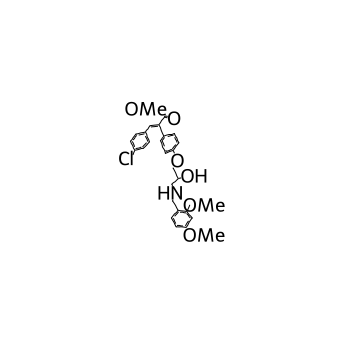 COC(=O)/C(=C/c1ccc(Cl)cc1)c1ccc(OCC(O)CNCc2ccc(OC)cc2OC)cc1